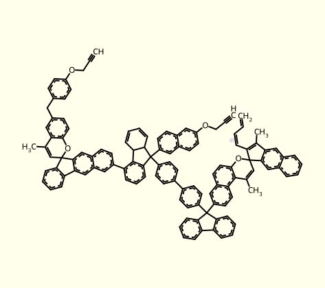 C#CCOc1ccc(Cc2ccc3c(c2)C(C)=CC2(O3)c3ccccc3-c3cc4cc(-c5cccc6c5C5C=CC=CC5C6(c5ccc(-c6ccc(C7(c8ccc9c%10c(ccc9c8)OC8(C=C%10C)C(/C=C\C=C)=C(C)c9cc%10ccccc%10cc98)c8ccccc8-c8ccccc87)cc6)cc5)c5ccc6cc(OCC#C)ccc6c5)ccc4cc32)cc1